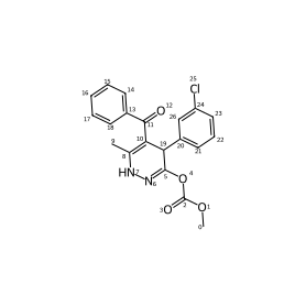 COC(=O)OC1=NNC(C)=C(C(=O)c2ccccc2)C1c1cccc(Cl)c1